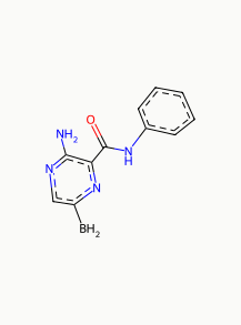 Bc1cnc(N)c(C(=O)Nc2ccccc2)n1